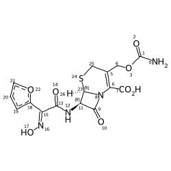 NC(=O)OCC1=C(C(=O)O)N2C(=O)[C@@H](NC(=O)C(=NO)c3ccco3)[C@H]2SC1